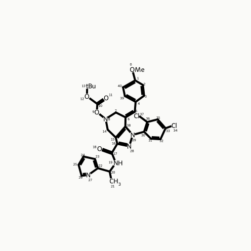 COc1ccc(/C=C2\CN(OC(=O)OC(C)(C)C)Cc3c(C(=O)NC(C)c4ccccn4)nn(-c4ccc(Cl)cc4Cl)c32)cc1